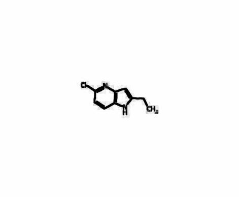 CCc1cc2nc(Cl)ccc2[nH]1